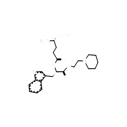 CCOC(=O)[C@H](N)CCC(=O)N[C@H](Cc1c[nH]c2ccccc12)C(=O)OCCN1CCCCC1